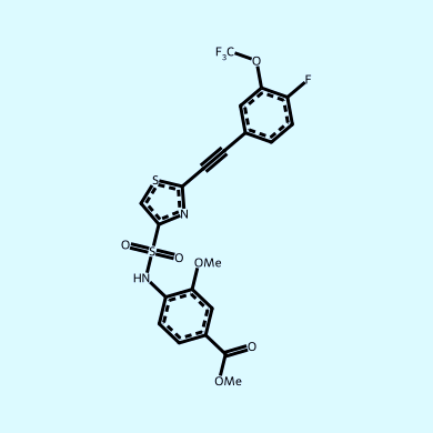 COC(=O)c1ccc(NS(=O)(=O)c2csc(C#Cc3ccc(F)c(OC(F)(F)F)c3)n2)c(OC)c1